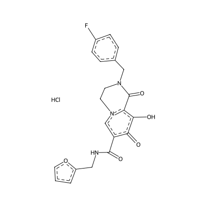 Cl.O=C(NCc1ccco1)c1cn2c(c(O)c1=O)C(=O)N(Cc1ccc(F)cc1)CC2